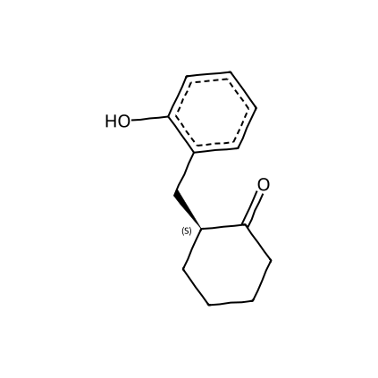 O=C1CCCC[C@H]1Cc1ccccc1O